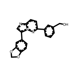 OCc1cccc(-c2ccc3ncc(-c4ccc5c(c4)OCO5)n3n2)c1